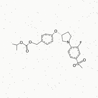 CC(C)OC(=O)OCc1ccc(O[C@@H]2CCN(c3ccc(S(C)(=O)=O)cc3F)C2)cc1